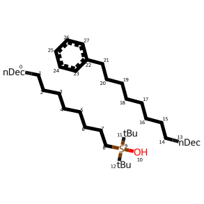 CCCCCCCCCCCCCCCCCCS(O)(C(C)(C)C)C(C)(C)C.CCCCCCCCCCCCCCCCCCc1ccccc1